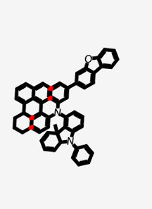 CC12C=CC=CC1N(c1ccccc1)c1cccc(N(c3cccc(-c4ccc5c(c4)oc4ccccc45)c3)c3ccccc3-c3cccc4cccc(C5CCCCC5)c34)c12